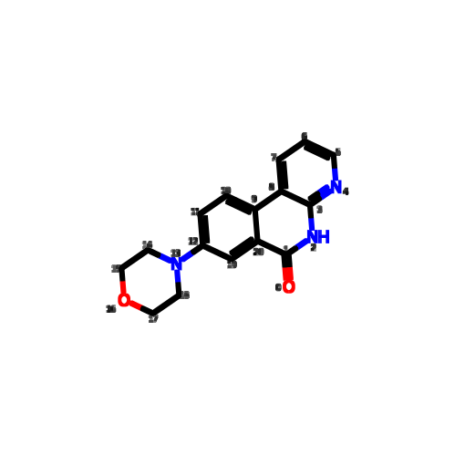 O=c1[nH]c2ncccc2c2ccc(N3CCOCC3)cc12